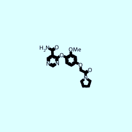 COc1cc(OCC(=O)N2CCCC2)ccc1Oc1ncncc1C(N)=O